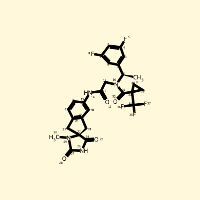 C[C@H](c1cc(F)cc(F)c1)N(CC(=O)Nc1ccc2c(c1)C[C@@]1(C2)C(=O)NC(=O)N1C)C(=O)C1(C(F)(F)F)CC1